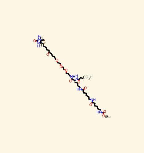 CC(C)(C)OC(=O)NCCCCCC(=O)NCCCCCC(=O)NCCCC[C@H](NC(=O)CCC(=O)O)C(=O)NCCCOCCOCCOCCCCC(=O)CCCC[C@@H]1SC[C@@H]2NC(=O)N[C@@H]21